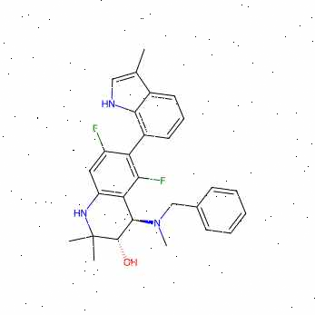 Cc1c[nH]c2c(-c3c(F)cc4c(c3F)[C@@H](N(C)Cc3ccccc3)[C@H](O)C(C)(C)N4)cccc12